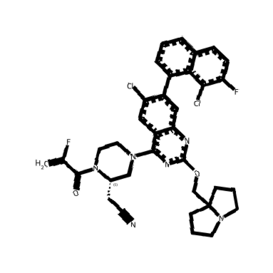 C=C(F)C(=O)N1CCN(c2nc(OCC34CCCN3CCC4)nc3cc(-c4cccc5ccc(F)c(Cl)c45)c(Cl)cc23)C[C@@H]1CC#N